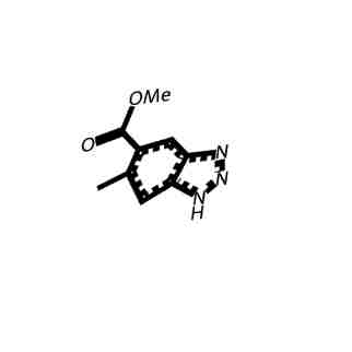 COC(=O)c1cc2nn[nH]c2cc1C